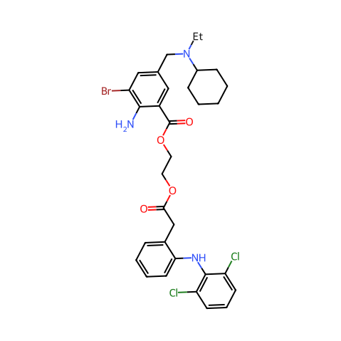 CCN(Cc1cc(Br)c(N)c(C(=O)OCCOC(=O)Cc2ccccc2Nc2c(Cl)cccc2Cl)c1)C1CCCCC1